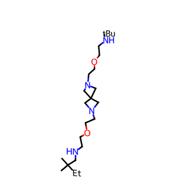 CCC(C)(C)CNCCOCCN1CC2(C1)CN(CCOCCNC(C)(C)C)C2